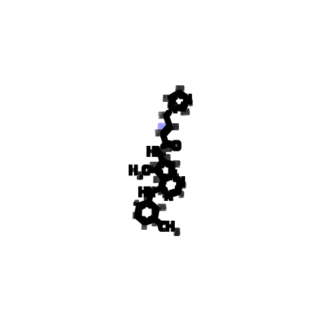 Cc1cccc(Nc2ncnn3cc(NC(=O)/C=C/Cn4ccnc4)c(C)c23)c1